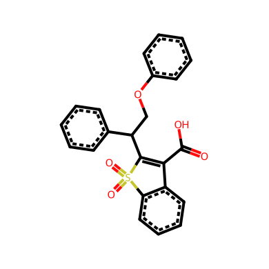 O=C(O)C1=C(C(COc2ccccc2)c2ccccc2)S(=O)(=O)c2ccccc21